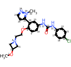 COC1CN(CCOc2ccc(NC(=O)Nc3ccc(Cl)cc3)cc2-c2ccnn2C)C1